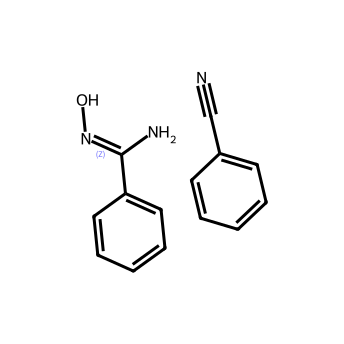 N#Cc1ccccc1.N/C(=N\O)c1ccccc1